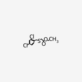 CCOC(=O)CSCc1ccc(Cl)cc1Cl